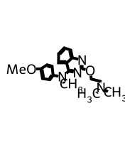 COc1ccc(N(C)c2nc(OCCN(C)C)nc3ccccc23)cc1